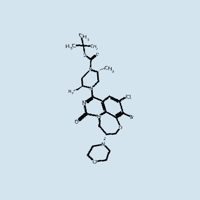 C[C@@H]1CN(c2nc(=O)n3c4c(c(Br)c(Cl)cc24)OC[C@H](N2CCOCC2)C3)[C@@H](C)CN1C(=O)OC(C)(C)C